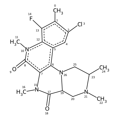 Cc1c(Cl)cc2c3c(c(=O)n(C)c2c1F)N(C)C(=O)C1CN(C)C(C)CN31